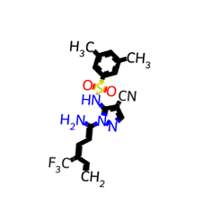 C=C/C(=C\C=C(/N)n1ncc(C#N)c1NS(=O)(=O)c1cc(C)cc(C)c1)C(F)(F)F